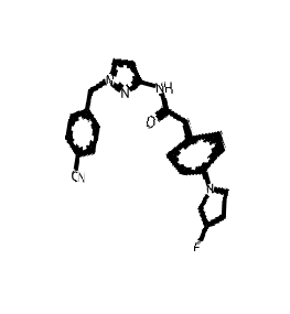 N#Cc1ccc(Cn2ccc(NC(=O)Cc3ccc(N4CCC(F)C4)cc3)n2)cc1